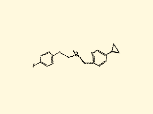 Fc1ccc(CCNCc2ccc(C3CC3)cc2)cc1